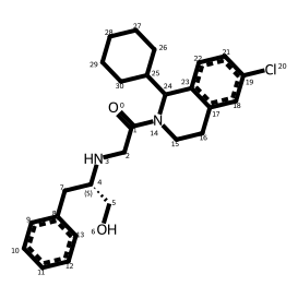 O=C(CN[C@H](CO)Cc1ccccc1)N1CCc2cc(Cl)ccc2C1C1CCCCC1